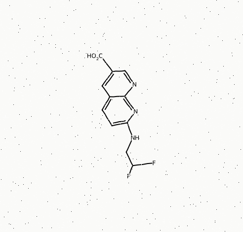 O=C(O)c1cnc2nc(NCC(F)F)ccc2c1